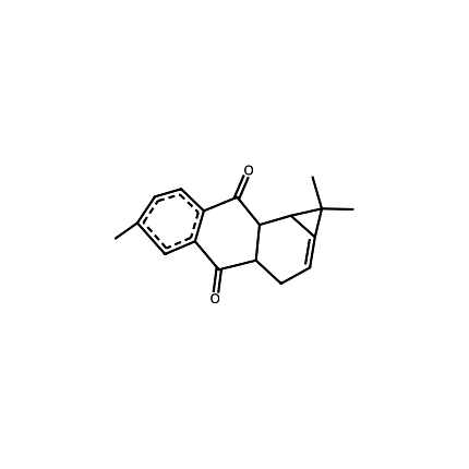 Cc1ccc2c(c1)C(=O)C1CC=C3C(C1C2=O)C3(C)C